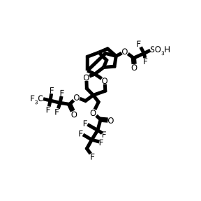 O=C(OCC1(COC(=O)C(F)(F)C(F)(F)C(F)(F)F)COC2(OC1)C1CC3CC2CC(OC(=O)C(F)(F)S(=O)(=O)O)(C3)C1)C(F)(F)C(F)(F)CF